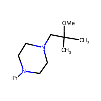 COC(C)(C)CN1CCN(C(C)C)CC1